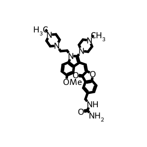 COc1ccc2c(c1)c(C=C1Oc3ccc(CNC(N)=O)cc3C1=O)c(N1CCN(C)CC1)n2CCN1CCN(C)CC1